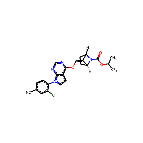 CC(OC(=O)N1[C@H]2CC[C@H]1C2=COc1ncnc2c1ccn2-c1ccc(C#N)cc1Cl)C(F)(F)F